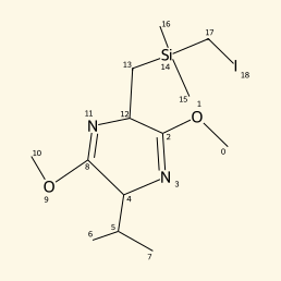 COC1=NC(C(C)C)C(OC)=NC1C[Si](C)(C)CI